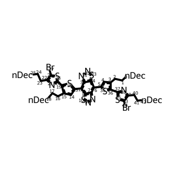 CCCCCCCCCCCCc1cc(-c2c3nnsc3c(-c3cc(CCCCCCCCCCCC)c(-c4nc(CCCCCCCCCCCC)c(Br)s4)s3)c3nnsc23)sc1-c1nc(CCCCCCCCCCCC)c(Br)s1